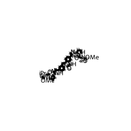 COC(=O)NC(C(=O)N1CCC[C@H]1c1ncc(-c2ccc3c(c2)cc2c4ccc(-c5cnc([C@@H]6CCCN6C(=O)C(NC(=O)OC)C(C)C)[nH]5)cc4[nH]c(=O)n32)[nH]1)C(C)C